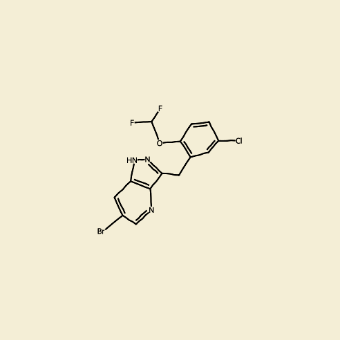 FC(F)Oc1ccc(Cl)cc1Cc1n[nH]c2cc(Br)cnc12